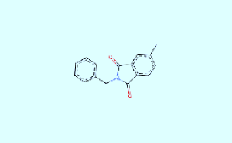 Cc1ccc2c(c1)C(=O)N(Cc1ccccc1)C2=O